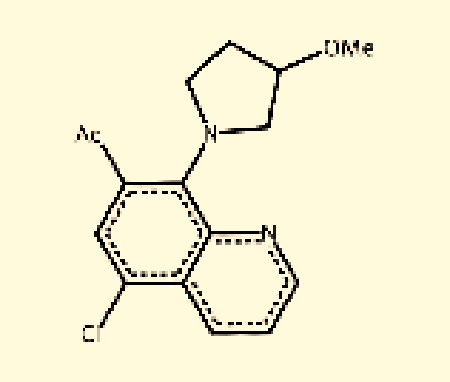 COC1CCN(c2c(C(C)=O)cc(Cl)c3cccnc23)C1